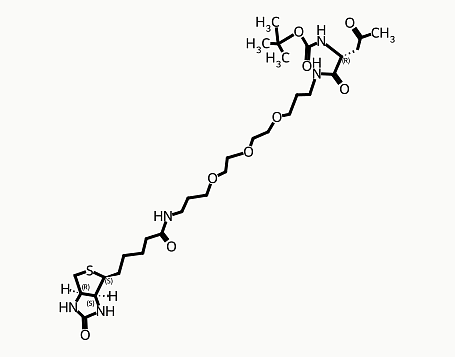 CC(=O)C[C@@H](NC(=O)OC(C)(C)C)C(=O)NCCCOCCOCCOCCCNC(=O)CCCC[C@@H]1SC[C@@H]2NC(=O)N[C@@H]21